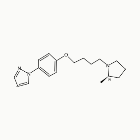 C[C@@H]1CCCN1CCCCOc1ccc(-n2c[c]cn2)cc1